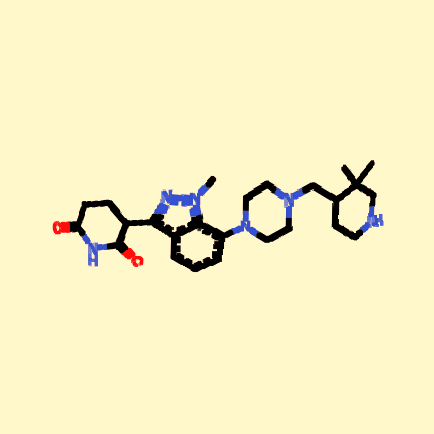 Cn1nc(C2CCC(=O)NC2=O)c2cccc(N3CCN(CC4CCNCC4(C)C)CC3)c21